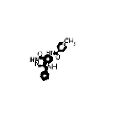 CN1CCC(C(=O)Nc2cc3c4c(c(-c5ccccc5)[nH]c4c2)C=NNC3=O)CC1